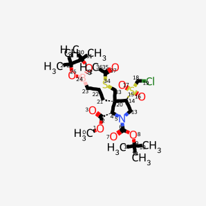 COC(=O)[C@H]1N(C(=O)OC(C)(C)C)C[C@@H](S(=O)(=O)CCl)[C@]1(CCCB1OC(C)(C)C(C)(C)O1)CSC(C)=O